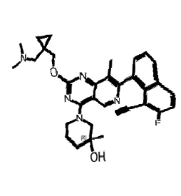 C#Cc1c(F)ccc2cccc(-c3ncc4c(N5CCC[C@@](C)(O)C5)nc(OCC5(CN(C)C)CC5)nc4c3C)c12